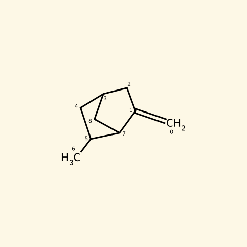 C=C1CC2CC(C)C1C2